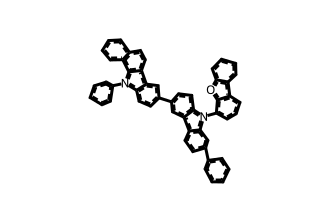 c1ccc(-c2ccc3c4cc(-c5ccc6c(c5)c5ccc7ccccc7c5n6-c5ccccc5)ccc4n(-c4cccc5c4oc4ccccc45)c3c2)cc1